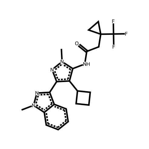 Cn1nc(-c2nn(C)c3ccccc23)c(C2CCC2)c1NC(=O)CC1(C(F)(F)F)CC1